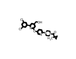 CC1(C(=O)N2CCN(c3ccc(Oc4cc(CO)cc(-c5cc(Cl)cc(Cl)c5)n4)cn3)CC2)CC1